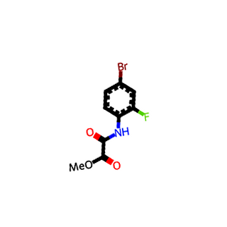 COC(=O)C(=O)Nc1ccc(Br)cc1F